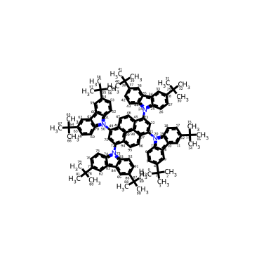 CC(C)(C)c1ccc2c(c1)c1cc(C(C)(C)C)ccc1n2-c1cc(-n2c3ccc(C(C)(C)C)cc3c3cc(C(C)(C)C)ccc32)c2ccc3c(-n4c5ccc(C(C)(C)C)cc5c5cc(C(C)(C)C)ccc54)cc(-n4c5ccc(C(C)(C)C)cc5c5cc(C(C)(C)C)ccc54)c4ccc1c2c43